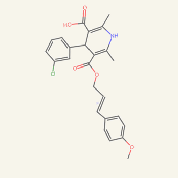 COc1ccc(/C=C/COC(=O)C2=C(C)NC(C)=C(C(=O)O)C2c2cccc(Cl)c2)cc1